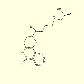 C[C@H](O)CNCCCC(=O)N1CCc2[nH]c(=O)c3ccccc3c2C1